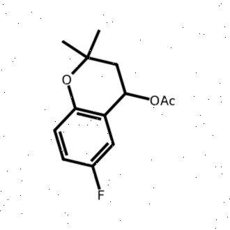 CC(=O)OC1CC(C)(C)Oc2ccc(F)cc21